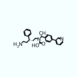 C[C@@H](c1ccc(-c2cccnc2)cc1)N(CC[C@H](CCN)c1ccccc1)C(=O)O